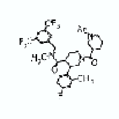 CC(=O)N1CCCC(C(=O)N2CCC(C(=O)N(C)Cc3cc(C(F)(F)F)cc(C(F)(F)F)c3)C(c3ccc(F)cc3C)C2)C1